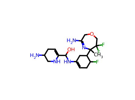 CC1(C2CC(NC(O)C3=CCC(N)CN3)=CCC2F)N=C(N)COCC1(F)F